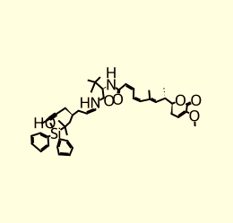 CC#CC[C@@H](C/C=C\NC(=O)[C@@H](NC(=O)\C=C/C=C\C(C)=C\[C@H](C)[C@@H]1CC=C(OC)C(=O)O1)C(C)(C)C)CC(C)(C)[Si](O)(c1ccccc1)c1ccccc1